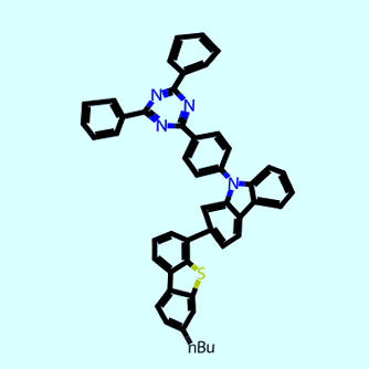 CCCCc1ccc2c(c1)sc1c(-c3ccc4c5ccccc5n(-c5ccc(-c6nc(-c7ccccc7)nc(-c7ccccc7)n6)cc5)c4c3)cccc12